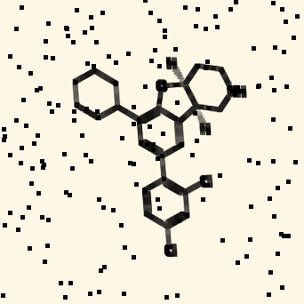 Clc1ccc(-c2cc(C3CCCCC3)c3c(c2)[C@@H]2CNCC[C@@H]2O3)c(Cl)c1